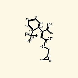 CC(=O)C(=CC(=O)OCC1CC1)c1ccccc1C(F)(F)F